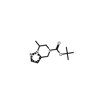 CC1CN(C(=O)OC(C)(C)C)Cc2ccnn21